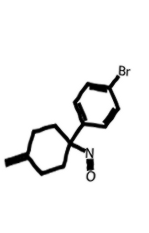 C=C1CCC(N=O)(c2ccc(Br)cc2)CC1